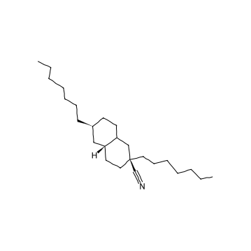 CCCCCCC[C@H]1CCC2C[C@](C#N)(CCCCCCC)CC[C@@H]2C1